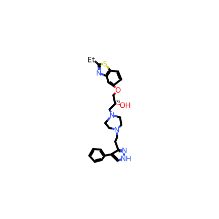 CCc1nc2cc(OC[C@H](O)CN3CCN(CCc4n[nH]cc4-c4ccccc4)CC3)ccc2s1